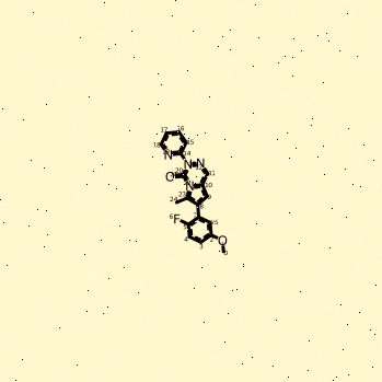 COc1ccc(F)c(-c2cc3cnn(-c4ccccn4)c(=O)n3c2C)c1